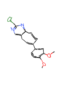 COc1ccc(-c2ccc3nc(Cl)ncc3c2)cc1OC